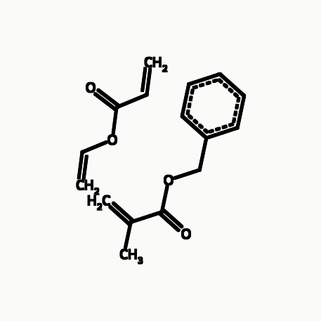 C=C(C)C(=O)OCc1ccccc1.C=COC(=O)C=C